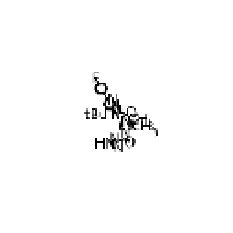 CC(C)(C)c1cc(-c2ccc(F)cc2)nn2cc(C(=O)N3CCN(C(=O)c4nc[nH]n4)CC3(C)C)nc12